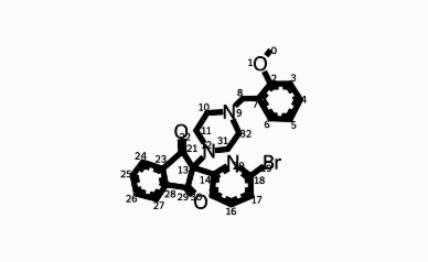 COc1ccccc1CN1CCN(C2(c3cccc(Br)n3)C(=O)c3ccccc3C2=O)CC1